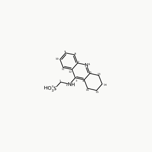 O=S(=O)(O)CNc1c2c(nc3ccccc13)CCCC2